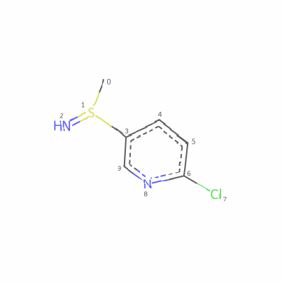 CS(=N)c1ccc(Cl)nc1